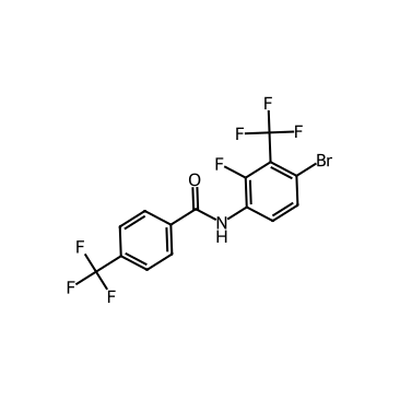 O=C(Nc1ccc(Br)c(C(F)(F)F)c1F)c1ccc(C(F)(F)F)cc1